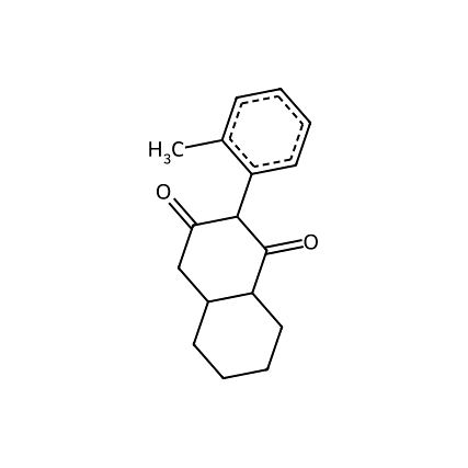 Cc1ccccc1C1C(=O)CC2CCCCC2C1=O